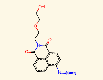 [N-]=[N+]=Nc1ccc2c3c(cccc13)C(=O)N(CCOCCO)C2=O